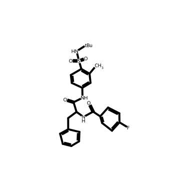 Cc1cc(NC(=O)C(Cc2ccccc2)NC(=O)c2ccc(F)cc2)ccc1S(=O)(=O)NC(C)(C)C